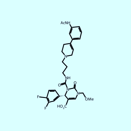 COCN1C=C(C(=O)O)[C@H](c2ccc(F)c(F)c2)N(C(=O)NCCCN2CC=C(c3cccc(NC(C)=O)c3)CC2)C1=O